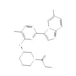 Cc1cnc(-c2cnc3ccc(F)cn23)nc1N[C@@H]1CCCN(C(=O)CC#N)C1